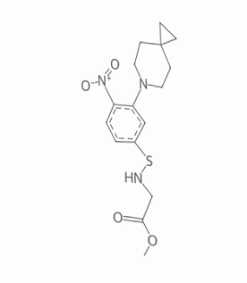 COC(=O)CNSc1ccc([N+](=O)[O-])c(N2CCC3(CC2)CC3)c1